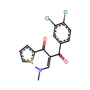 CN(C)/C=C(/C(=O)c1ccc(Cl)c(Cl)c1)C(=O)c1cccs1